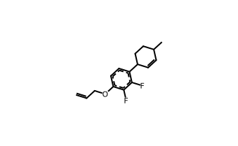 C=CCOc1ccc(C2C=CC(C)CC2)c(F)c1F